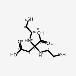 O=C(O)CC(NCCS)(NCCS)C(=O)O